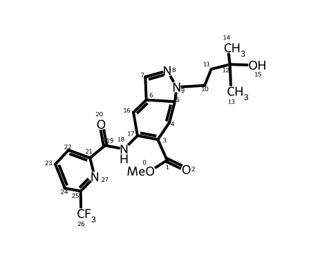 COC(=O)c1cc2c(cnn2CCC(C)(C)O)cc1NC(=O)c1cccc(C(F)(F)F)n1